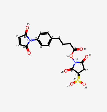 O=C(CCCc1ccc(N2C(=O)C=CC2=O)cc1)ON1C(=O)CC(=S(=O)=O)C1=O